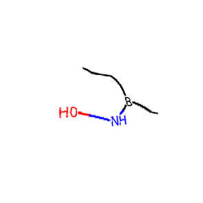 CCB(C)NO